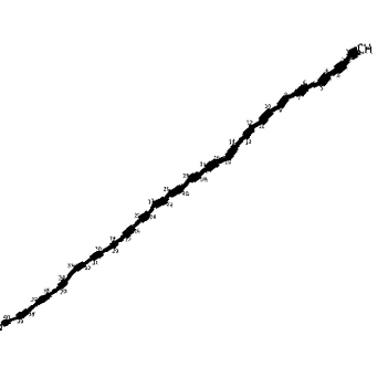 C#CC#CC#CC#CC#CC#CC#CC#CC#CC#CC#CC#CC#CC#CC#CC#CC#CC#CC#CC#CC#N